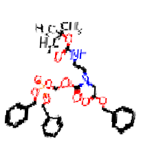 CC(C)(C)OC(=O)NCCN(CC(=O)OCc1ccccc1)C(=O)OCOP(=O)(OCc1ccccc1)OCc1ccccc1